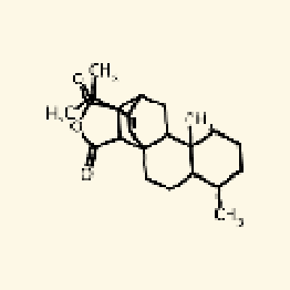 CC(C)C1=CC23CCC4C(C)CCCC4(C)C2CC1C1C(=O)OC(=O)C13